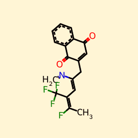 C=N/C(=C\C(=C(/C)F)C(F)(F)F)CC1=CC(=O)c2ccccc2C1=O